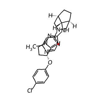 Cc1cc(N2C[C@H]3CC[C@@H](C2)[C@@H]3Nc2nc3n(n2)CC[C@H]3Oc2ccc(Cl)cc2)ncn1